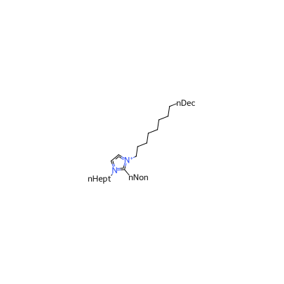 CCCCCCCCCCCCCCCCCC[n+]1ccn(CCCCCCC)c1CCCCCCCCC